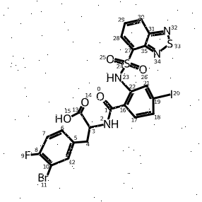 O=C(NC(Cc1ccc(F)c(Br)c1)C(=O)O)c1ccc(I)cc1NS(=O)(=O)c1cccc2nsnc12